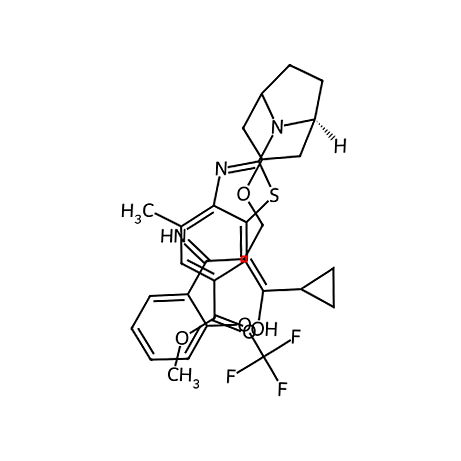 COC(=O)c1cc(C)c2nc(N3C4CC[C@H]3CC(OC/C(C(=N)c3ccccc3OC(F)(F)F)=C(/O)C3CC3)C4)sc2c1